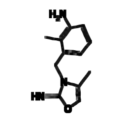 Cc1c(N)cccc1Cn1c(C)coc1=N